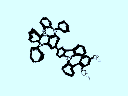 FC(F)(F)c1ccc(-c2ccccc2-n2c3ccccc3c3cc(-c4cc5c6c(c4)N(c4ccccc4)c4ccccc4B6c4ccccc4N5c4ccccc4)ccc32)c(C(F)(F)F)c1